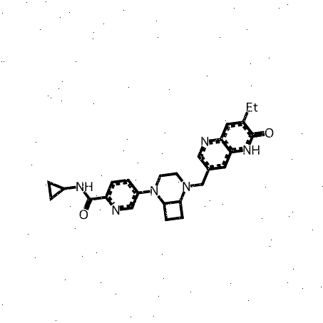 CCc1cc2ncc(CN3CCN(c4ccc(C(=O)NC5CC5)nc4)C4CCC43)cc2[nH]c1=O